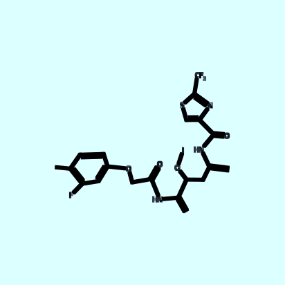 C=C(CC(OI)C(=C)NC(=O)COc1ccc(C)c(F)c1)NC(=O)c1csc(C(F)(F)F)n1